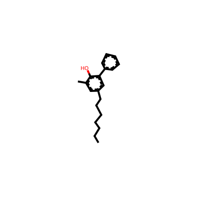 CCCCCCCc1cc(C)c(O)c(-c2ccccc2)c1